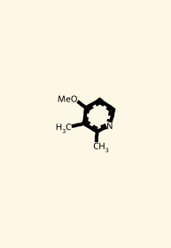 COc1ccnc(C)c1C